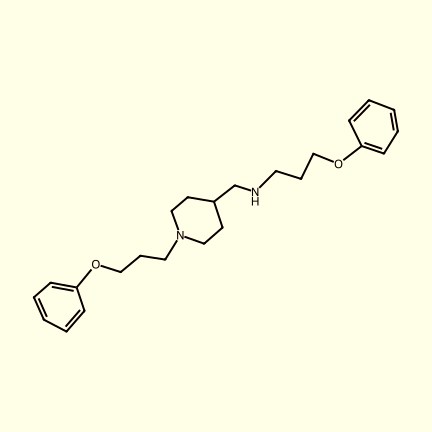 c1ccc(OCCCNCC2CCN(CCCOc3ccccc3)CC2)cc1